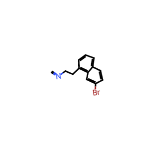 C=NCCc1cccc2ccc(Br)cc12